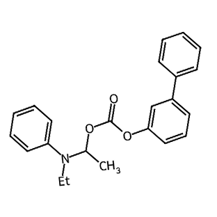 CCN(c1ccccc1)C(C)OC(=O)Oc1cccc(-c2ccccc2)c1